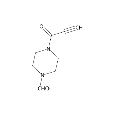 C#CC(=O)N1CCN([C]=O)CC1